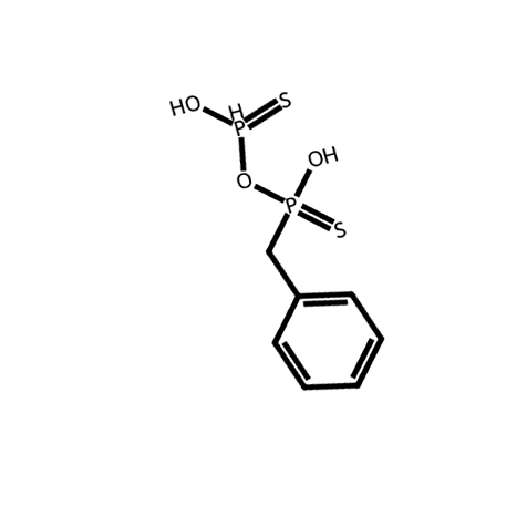 O[PH](=S)OP(O)(=S)Cc1ccccc1